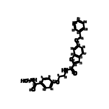 O=C(NO)c1ccc(OCCNC(=O)c2cc3ccc(OCc4cccnc4)cc3o2)cc1